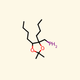 CCCCC1OC(C)(C)OC1(CP)CCCC